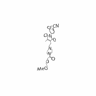 COCCOCC(=O)N1CCN(CCC2=C(C)C(=O)N(c3ccc(C#N)c(C(F)(F)F)c3)C2=O)CC1